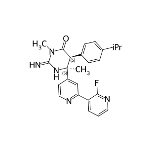 CC(C)c1ccc([C@@H]2C(=O)N(C)C(=N)N[C@]2(C)c2ccnc(-c3cccnc3F)c2)cc1